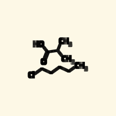 CC(C)C(=O)O.CCCCCCl